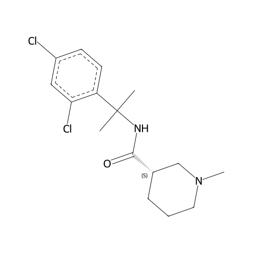 CN1CCC[C@H](C(=O)NC(C)(C)c2ccc(Cl)cc2Cl)C1